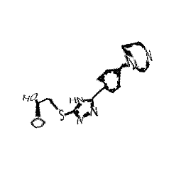 O=C(O)CSc1nnc(-c2ccc(-n3ccnc3)cc2)[nH]1